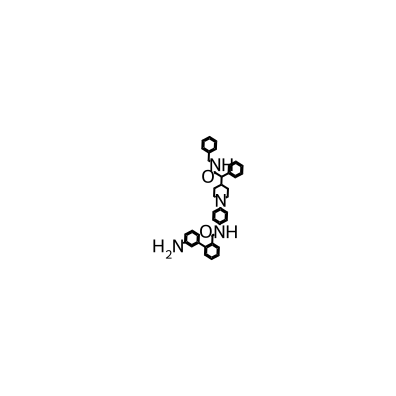 Nc1cccc(-c2ccccc2C(=O)Nc2ccc(N3CCC(C(C(=O)NCc4ccccc4)c4ccccc4)CC3)cc2)c1